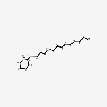 CCCCCCC=CCSCCCCC1CCCCO1